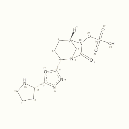 O=C1N2C[C@H](CC[C@H]2c2nnc([C@@H]3CCCN3)o2)N1OS(=O)(=O)O